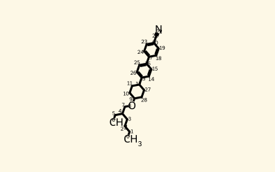 CCCCC(CC)COC1CCC(c2ccc(-c3ccc(C#N)cc3)cc2)CC1